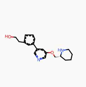 OCCc1cccc(-c2cncc(OC[C@H]3CCCCN3)c2)c1